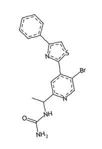 CC(NC(N)=O)c1cc(-c2nc(-c3ccccc3)cs2)c(Br)cn1